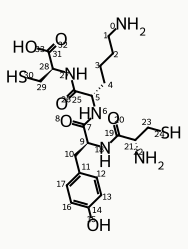 NCCCC[C@H](NC(=O)[C@H](Cc1ccc(O)cc1)NC(=O)[C@@H](N)CS)C(=O)N[C@@H](CS)C(=O)O